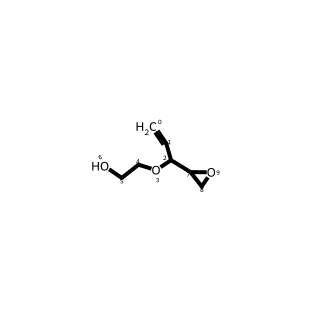 C=CC(OCCO)C1CO1